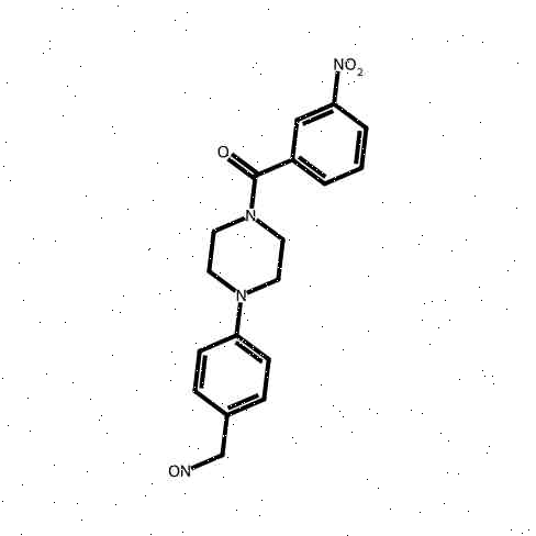 O=NCc1ccc(N2CCN(C(=O)c3cccc([N+](=O)[O-])c3)CC2)cc1